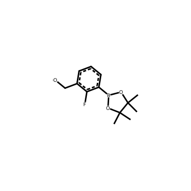 CC1(C)OB(c2cccc(C[O])c2F)OC1(C)C